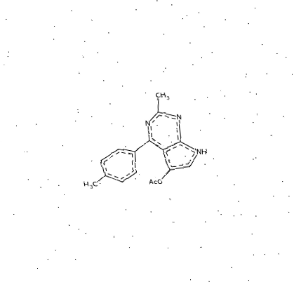 CC(=O)Oc1c[nH]c2nc(C)nc(-c3ccc(C)cc3)c12